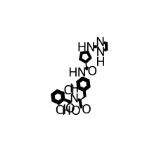 O=C(N[C@@H](Cc1ccc(NC(=O)[C@H]2CC[C@@H](NC3=NCCN3)C2)cc1)C(=O)O)c1c(Cl)cccc1Cl